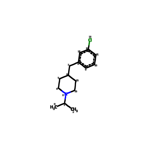 CC(C)N1CCC(Cc2cccc(Cl)c2)CC1